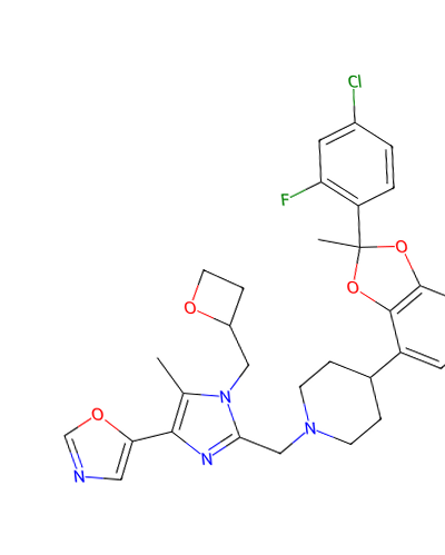 Cc1c(-c2cnco2)nc(CN2CCC(c3cccc4c3OC(C)(c3ccc(Cl)cc3F)O4)CC2)n1CC1CCO1